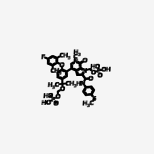 CSc1ccc(NC(=O)c2cc3c(-c4cc(C(C)(C)OCOP(=O)(O)O)ccc4Oc4c(C)cc(F)cc4C)cn(C)c(=O)c3n2COP(=O)(O)O)cc1